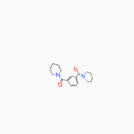 O=C(c1cccc(C(=O)N2CCCCC2)c1)N1CCCCC1